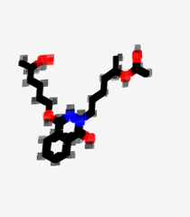 CC(=O)O[C@H](C)CCCCn1nc(OCCCC[C@@H](C)O)c2ccccc2c1=O